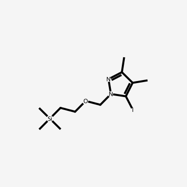 Cc1nn(COCC[Si](C)(C)C)c(I)c1C